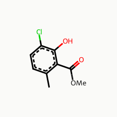 COC(=O)c1c(C)ccc(Cl)c1O